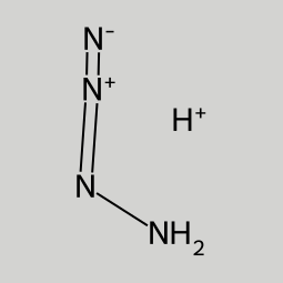 [H+].[N-]=[N+]=NN